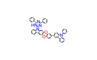 c1ccc(C2=NC(c3ccccc3)NC(n3c4ccccc4c4cc5c(cc43)Oc3cc(-c4ccc6c(c4)c4ccccc4n6-c4ccccc4)ccc3O5)=N2)cc1